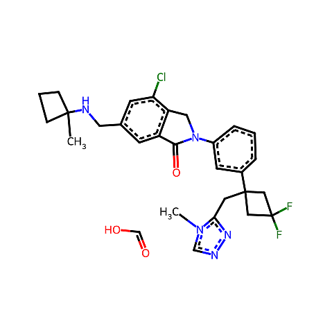 Cn1cnnc1CC1(c2cccc(N3Cc4c(Cl)cc(CNC5(C)CCC5)cc4C3=O)c2)CC(F)(F)C1.O=CO